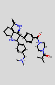 C=C1NN=C2C3=C1CCCC3NC(c1ccc(CN(C)C)cc1)C2c1ccc(C(=O)N2CCN(C(=O)C(C)C)CC2)cc1